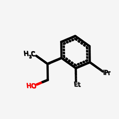 CCc1c([C](C)CO)cccc1C(C)C